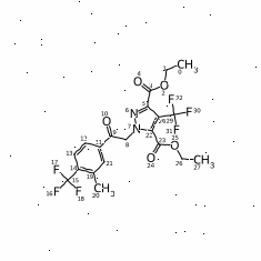 CCOC(=O)c1nn(CC(=O)c2ccc(C(F)(F)F)c(C)c2)c(C(=O)OCC)c1C(F)(F)F